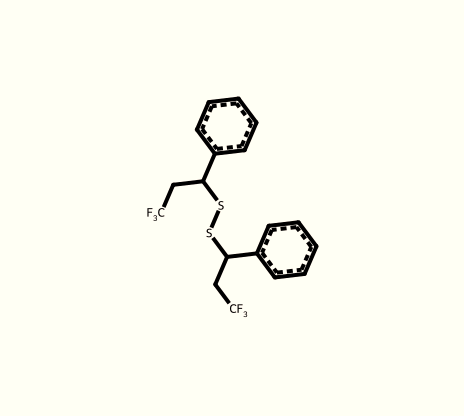 FC(F)(F)CC(SSC(CC(F)(F)F)c1ccccc1)c1ccccc1